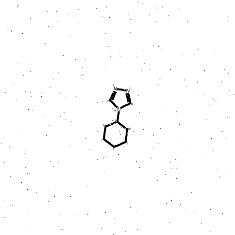 [c]1nncn1C1CCCCC1